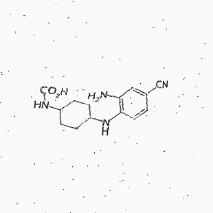 N#Cc1ccc(NC2CCC(NC(=O)O)CC2)c(N)c1